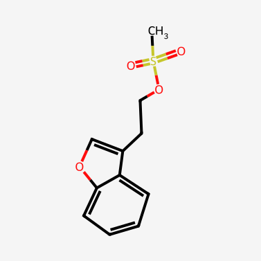 CS(=O)(=O)OCCc1coc2ccccc12